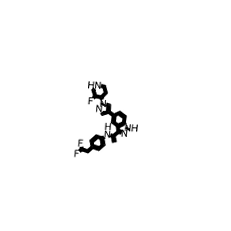 C=C(Nc1ccc(CC(F)F)cc1)c1n[nH]c2ccc(-c3cnn(C4CCNCC4F)c3)cc12